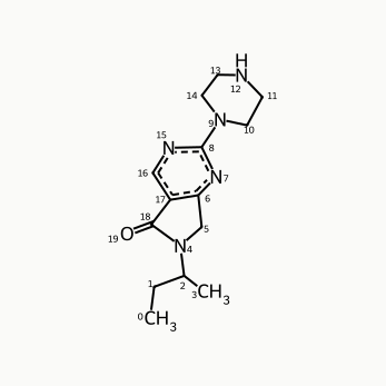 CCC(C)N1Cc2nc(N3CCNCC3)ncc2C1=O